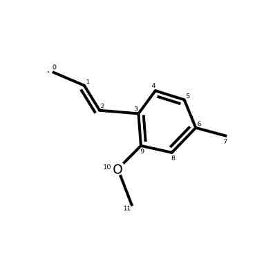 [CH2]/C=C/c1ccc(C)cc1OC